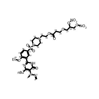 C=NN(C)c1c(CCCC)nc(-c2cc(S(=O)(=O)N3CCN(CCOC(=O)CCOCC(CO[N+](=O)[O-])O[N+](=O)[O-])CC3)ccc2OCC)[nH]c1=O